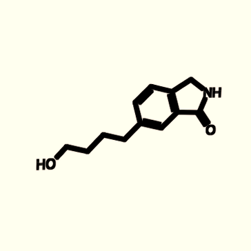 O=C1NCc2ccc(CCCCO)cc21